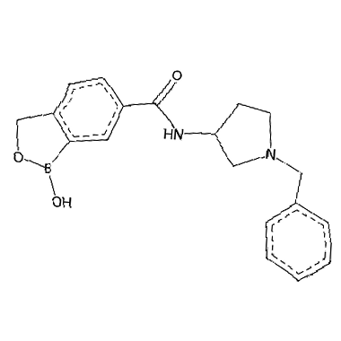 O=C(NC1CCN(Cc2ccccc2)C1)c1ccc2c(c1)B(O)OC2